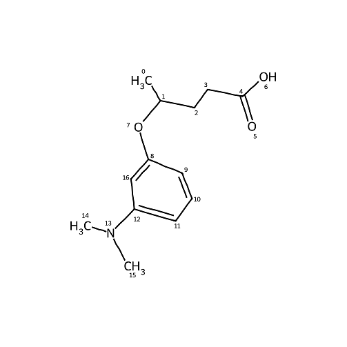 CC(CCC(=O)O)Oc1cccc(N(C)C)c1